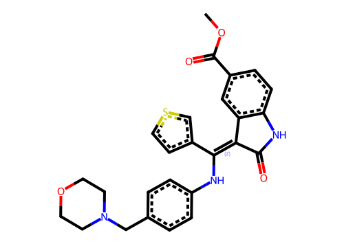 COC(=O)c1ccc2c(c1)/C(=C(/Nc1ccc(CN3CCOCC3)cc1)c1ccsc1)C(=O)N2